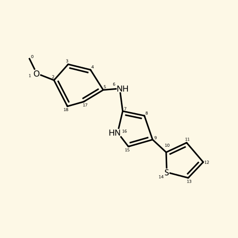 COc1ccc(Nc2cc(-c3cccs3)c[nH]2)cc1